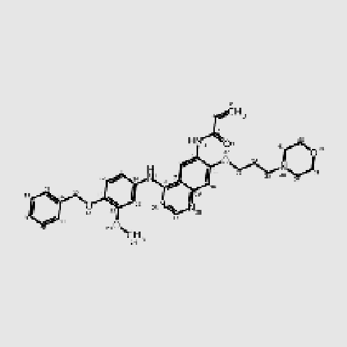 C=CC(=O)Nc1cc2c(Nc3ccc(OCc4ccccc4)c(OC)c3)ncnc2cc1OCCCN1CCOCC1